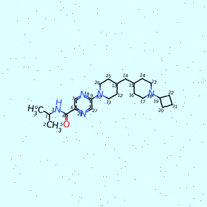 CC(C)NC(=O)c1cnc(N2CCC(CC3CCN(C4CCC4)CC3)CC2)cn1